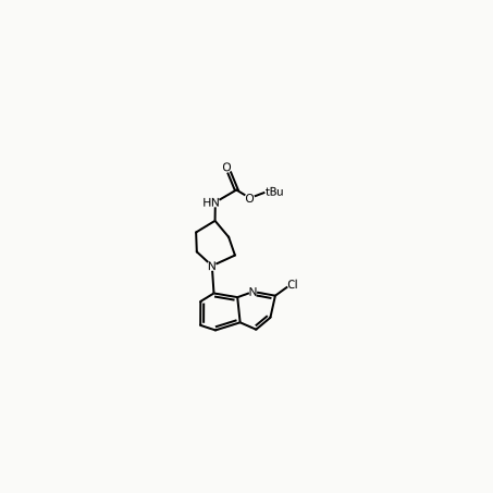 CC(C)(C)OC(=O)NC1CCN(c2cccc3ccc(Cl)nc23)CC1